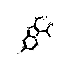 CC(O)c1c(CO)nc2cc(F)ccn12